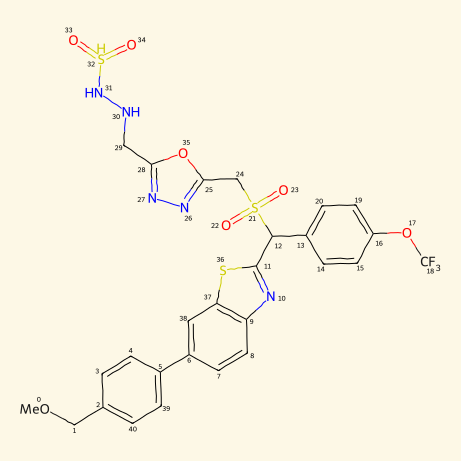 COCc1ccc(-c2ccc3nc(C(c4ccc(OC(F)(F)F)cc4)S(=O)(=O)Cc4nnc(CNN[SH](=O)=O)o4)sc3c2)cc1